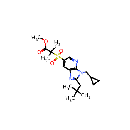 COC(=O)C(C)(C)S(=O)(=O)c1cnc2c(c1)nc(CC(C)(C)C)n2CC1CC1